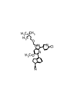 COc1cc2c(nc1-c1cccc3c1CCC3C#N)c(-c1ccc(Cl)nc1)nn2COCC[Si](C)(C)C